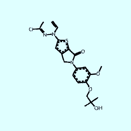 C=CN(/N=C(\C)Cl)c1cc2c(s1)C(=O)N(c1ccc(OCC(C)(C)O)c(OC)c1)C2